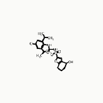 CC(C)c1cc(Cl)cc(C(C)C)c1NC(=O)NS(=O)(=O)c1cc2c(o1)CCCC2O